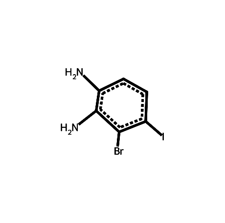 Nc1ccc(I)c(Br)c1N